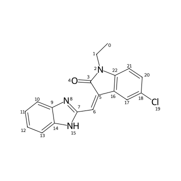 CCN1C(=O)C(=Cc2nc3ccccc3[nH]2)c2cc(Cl)ccc21